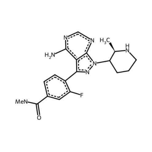 CNC(=O)c1ccc(-c2nn(C3CCCN[C@@H]3C)c3ncnc(N)c23)c(F)c1